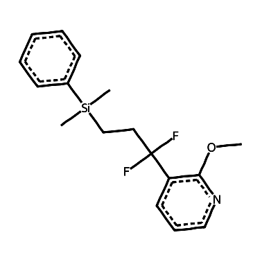 COc1ncccc1C(F)(F)CC[Si](C)(C)c1ccccc1